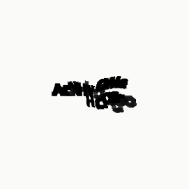 COc1cc(OCc2cccc(-c3ccccc3)c2Br)c(Cl)cc1CNC(C)NC(C)=O